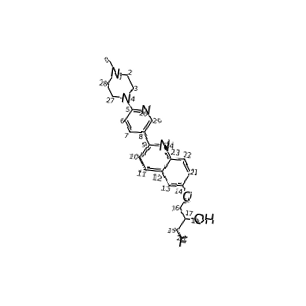 CN1CCN(c2ccc(-c3ccc4cc(OCC(O)CF)ccc4n3)cn2)CC1